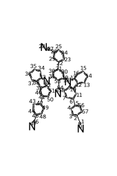 N#Cc1ccc(-c2ccc3c(c2)c2ccccc2n3-c2cc(-c3cccc(C#N)c3)cc(-n3c4ccccc4c4cc(-c5ccc(C#N)cc5)ccc43)c2C#N)cc1